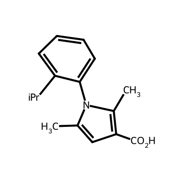 Cc1cc(C(=O)O)c(C)n1-c1ccccc1C(C)C